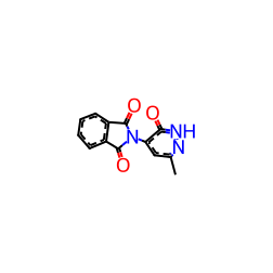 Cc1cc(N2C(=O)c3ccccc3C2=O)c(=O)[nH]n1